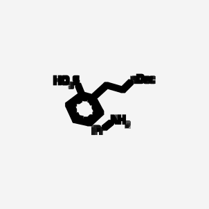 CC(C)N.CCCCCCCCCCCCc1ccccc1S(=O)(=O)O